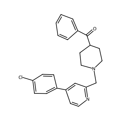 O=C(c1ccccc1)C1CCN(Cc2cc(-c3ccc(Cl)cc3)ccn2)CC1